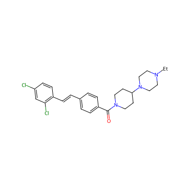 CCN1CCN(C2CCN(C(=O)c3ccc(/C=C/c4ccc(Cl)cc4Cl)cc3)CC2)CC1